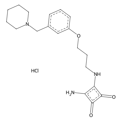 Cl.Nc1c(NCCCOc2cccc(CN3CCCCC3)c2)c(=O)c1=O